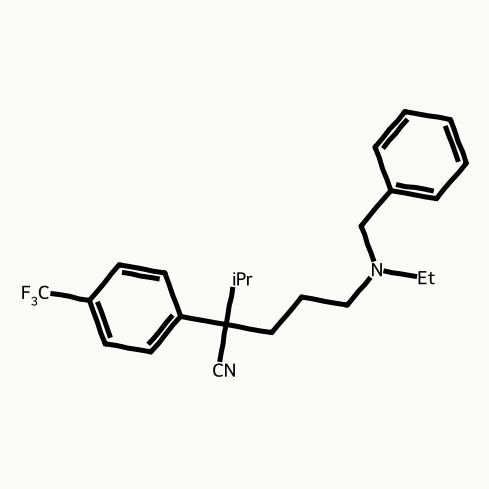 CCN(CCCC(C#N)(c1ccc(C(F)(F)F)cc1)C(C)C)Cc1ccccc1